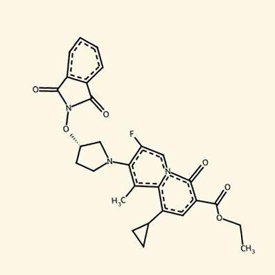 CCOC(=O)c1cc(C2CC2)c2c(C)c(N3CC[C@H](ON4C(=O)c5ccccc5C4=O)C3)c(F)cn2c1=O